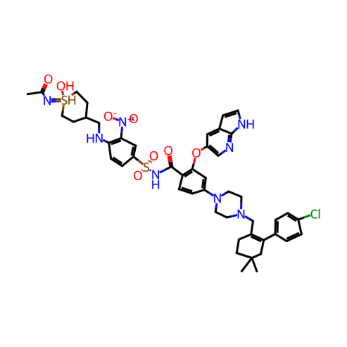 CC(=O)N=[SH]1(O)CCC(CNc2ccc(S(=O)(=O)NC(=O)c3ccc(N4CCN(CC5=C(c6ccc(Cl)cc6)CC(C)(C)CC5)CC4)cc3Oc3cnc4[nH]ccc4c3)cc2[N+](=O)[O-])CC1